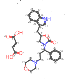 O=C(O)/C=C/C(=O)O.O=C1OC(Cc2c[nH]c3ccccc23)CN1C(CCN1CCOCC1)c1ccccc1